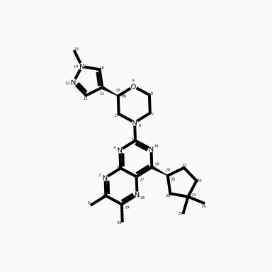 Cc1nc2nc(N3CCO[C@H](c4cnn(C)c4)C3)nc([C@H]3CCC(C)(C)C3)c2nc1C